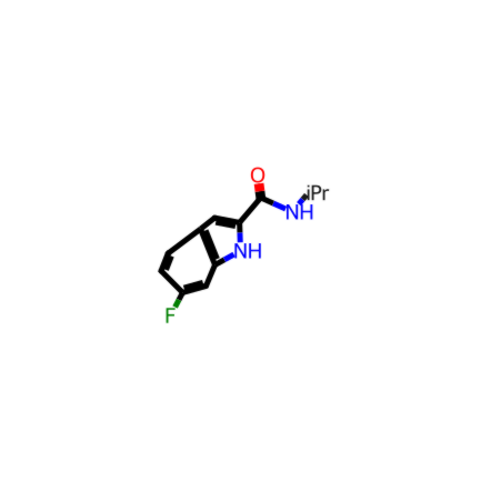 CC(C)NC(=O)c1cc2ccc(F)cc2[nH]1